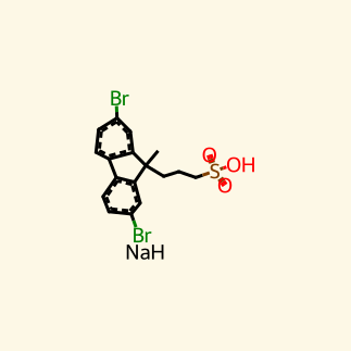 CC1(CCCS(=O)(=O)O)c2cc(Br)ccc2-c2ccc(Br)cc21.[NaH]